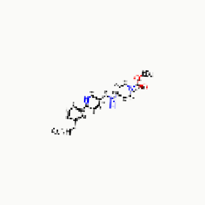 CC(=O)NCc1cccc(-c2ccc(CNC3CCN(C(=O)OC(C)(C)C)CC3)cn2)c1